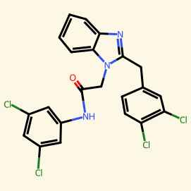 O=C(Cn1c(Cc2ccc(Cl)c(Cl)c2)nc2ccccc21)Nc1cc(Cl)cc(Cl)c1